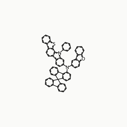 c1ccc(-n2c3cc(N(c4ccc5oc6ccccc6c5c4)c4cccc5c4-c4ccccc4C54c5ccccc5-c5ccccc54)ccc3c3ccc4c5ccccc5sc4c32)cc1